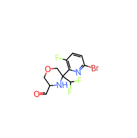 O=CC1COCC(c2nc(Br)ccc2F)(C(F)F)N1